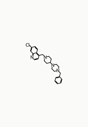 Clc1ccc2c(CN3CCC(N4CCN(Cc5ccccc5)CC4)CC3)ccnc2c1